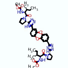 CC[C@H](C)[C@H](NC(=O)OC)C(=O)N1CCC[C@H]1c1nnc(-c2ccc3c(c2)Oc2ccc(-c4nnc([C@@H]5CCCN5C(=O)[C@@H](NC(=O)OC)[C@@H](C)CC)[nH]4)cc2O3)[nH]1